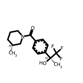 C[C@@H]1CCCN(C(=O)c2ccc([C@](C)(O)C(F)(F)F)cc2)C1